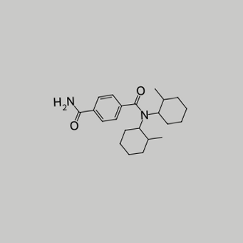 CC1CCCCC1N(C(=O)c1ccc(C(N)=O)cc1)C1CCCCC1C